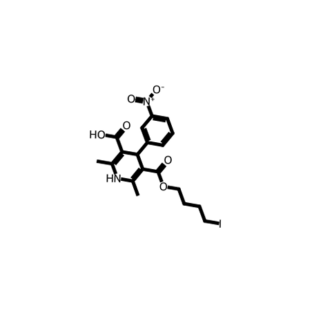 CC1=C(C(=O)O)C(c2cccc([N+](=O)[O-])c2)C(C(=O)OCCCCI)=C(C)N1